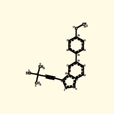 CC(C)(O)C#Cc1nnc2ccc(-c3ccc(OC(F)(F)F)cc3)cn12